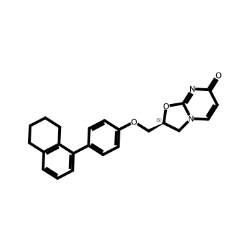 O=c1ccn2c(n1)O[C@H](COc1ccc(-c3cccc4c3CCCC4)cc1)C2